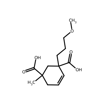 COCCCC1(C(=O)O)C=CCC(C)(C(=O)O)C1